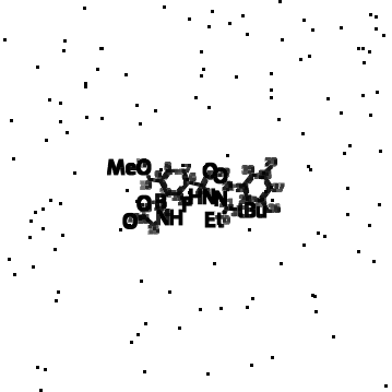 CC[C@@H](N(NC(=O)c1ccc(COC)c(B2NCC(=O)O2)c1F)C(=O)c1cc(C)cc(C)c1)C(C)(C)C